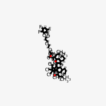 CCC1=CC(C)(C)N2CCCc3c4c(cc1c32)C1(c2cc3c5c(c2O4)CCCN5C(C)(C)C=C3CS(=O)(=O)O)c2c(Cl)c(Cl)c(Cl)c(Cl)c2C(=O)N1OCCOCCOCCOCCC(=O)Oc1c(F)c(F)cc(F)c1F